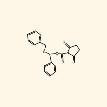 O=C1CCC(=O)N1C(=O)OC(OCc1ccccc1)c1ccccc1